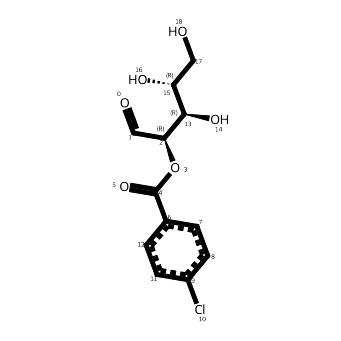 O=C[C@H](OC(=O)c1ccc(Cl)cc1)[C@H](O)[C@H](O)CO